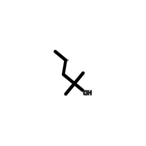 C[CH]CC(C)(C)O